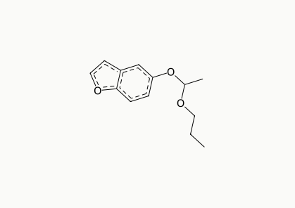 CCCOC(C)Oc1ccc2occc2c1